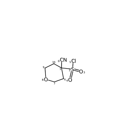 N#CC1(S(=O)(=O)Cl)CCOCC1